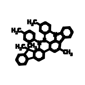 Cc1ccc(N2B3c4cc(C)ccc4-n4c5ccccc5c5c(C)cc(c3c54)-c3ccc4c(c32)C(C)(C)c2ccccc2-4)cc1